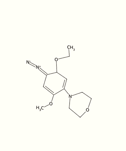 CCOC1C=C(N2CCOCC2)C(OC)=CC1=[N+]=[N-]